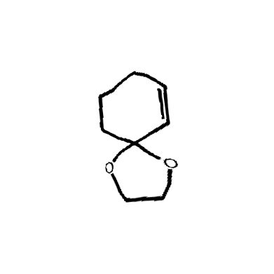 C1=CC2(CCC1)OCCO2